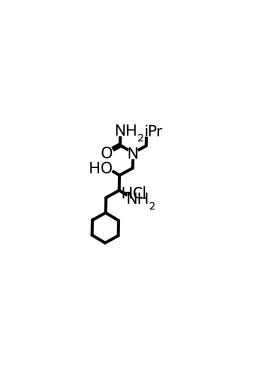 CC(C)CN(CC(O)C(N)CC1CCCCC1)C(N)=O.Cl